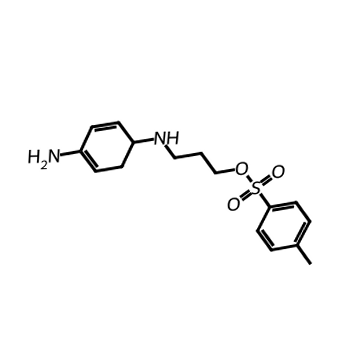 Cc1ccc(S(=O)(=O)OCCCNC2C=CC(N)=CC2)cc1